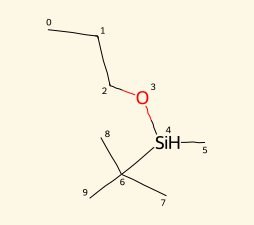 CCCO[SiH](C)C(C)(C)C